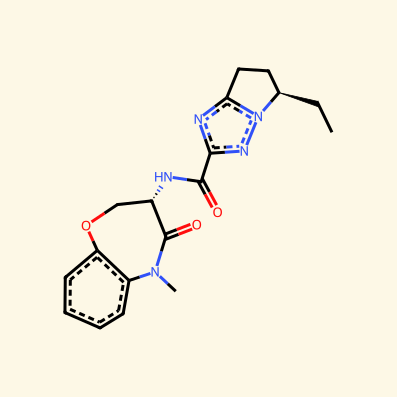 CC[C@@H]1CCc2nc(C(=O)N[C@H]3COc4ccccc4N(C)C3=O)nn21